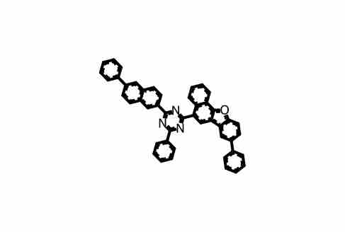 c1ccc(-c2ccc3cc(-c4nc(-c5ccccc5)nc(-c5cc6c7cc(-c8ccccc8)ccc7oc6c6ccccc56)n4)ccc3c2)cc1